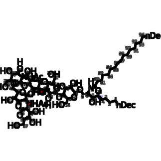 CCCCCCCCCCCCC/C=C/[C@@H](O)[C@H](CO[C@@H]1OC(CO)[C@@H](O[C@@H]2OC(CO)[C@H](O[C@@H]3OC(CO)[C@H](O[C@@H]4OC(CO)[C@H](O)[C@H](O)C4NC(C)=O)[C@H](O[C@@H]4OC(CO)[C@H](O)[C@H](O[C@H]5OC(CO)[C@H](O)[C@H](O)C5NC(C)=O)C4NC(C)=O)C3O)[C@H](O)C2O)[C@H](O)C1O)NC(=O)CCCCCCCCCCCCCCCCCCCCCCCCC